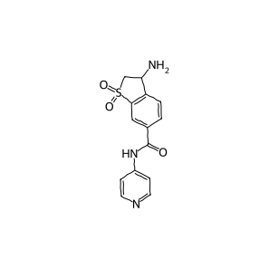 NC1CS(=O)(=O)c2cc(C(=O)Nc3ccncc3)ccc21